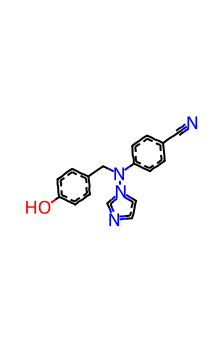 N#Cc1ccc(N(Cc2ccc(O)cc2)n2ccnc2)cc1